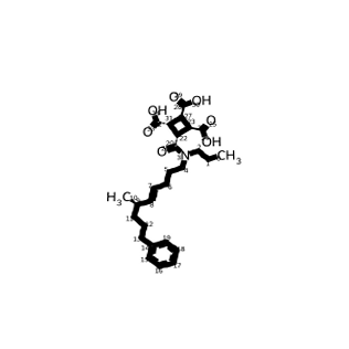 CCCN(CCC/C=C/[C@H](C)CCCc1ccccc1)C(=O)[C@H]1[C@H](C(=O)O)[C@H](C(=O)O)[C@H]1C(=O)O